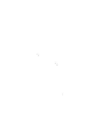 Cc1nc2c(c(C)c1O)CCN2C